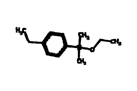 CCO[Si](C)(C)c1ccc(CC)cc1